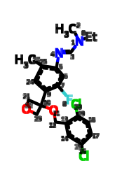 CCN(C)C=Nc1cc(F)c(C2(OCc3cc(Cl)ccc3Cl)COC2)cc1C